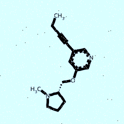 CCC#Cc1cncc(OC[C@@H]2CCCN2C)c1